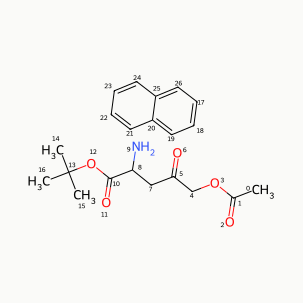 CC(=O)OCC(=O)CC(N)C(=O)OC(C)(C)C.c1ccc2ccccc2c1